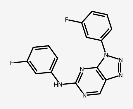 Fc1cccc(Nc2ncc3nnn(-c4cccc(F)c4)c3n2)c1